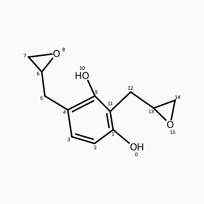 Oc1ccc(CC2CO2)c(O)c1CC1CO1